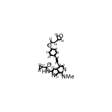 CNc1ncc(C#Cc2ccc(OC(C)CC3COC3)cc2)c2cc(NC(=O)C3CC3)ncc12